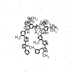 CCc1ncc(-c2cn(-c3cc(C(=O)Nc4cc(C(C)(C)C)cc(NS(C)(=O)=O)c4OC)ccc3C)nn2)n1Cc1ccccc1.CCn1c(-c2cn(-c3cc(C(=O)Nc4cc(C5(C)CC5)cc(NS(C)(=O)=O)c4OC)ccc3C)nn2)cnc1-c1ccccc1